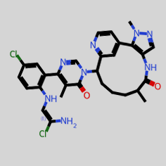 Cc1c(-c2cc(Cl)ccc2N/C=C(\N)Cl)ncn(C2CCCC(C)C(=O)Nc3cnn(C)c3-c3ccnc2c3)c1=O